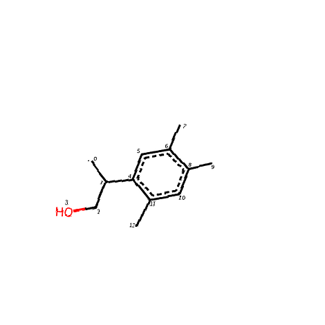 [CH2]C(CO)c1cc(C)c(C)cc1C